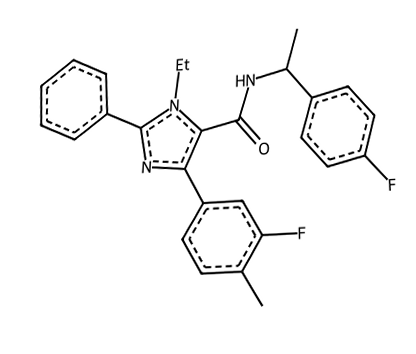 CCn1c(-c2ccccc2)nc(-c2ccc(C)c(F)c2)c1C(=O)NC(C)c1ccc(F)cc1